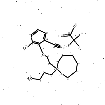 CCCC[N+]1(CCOc2c(C)cccc2C#N)CCCCCCC1.O=C([O-])C(F)(F)F